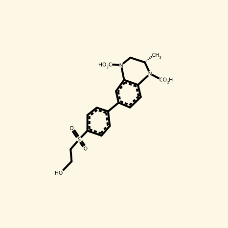 C[C@H]1CN(C(=O)O)c2cc(-c3ccc(S(=O)(=O)CCO)cc3)ccc2N1C(=O)O